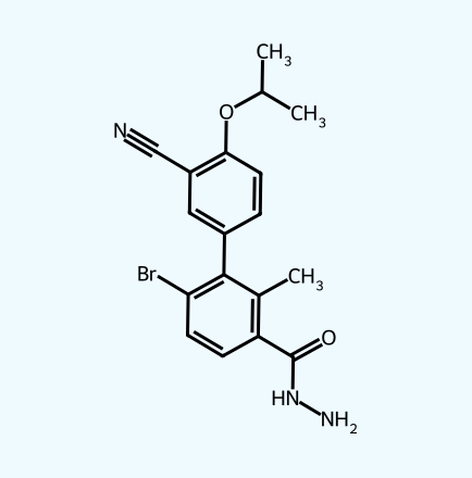 Cc1c(C(=O)NN)ccc(Br)c1-c1ccc(OC(C)C)c(C#N)c1